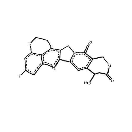 O=C1OCc2c(cc3n(c2=O)Cc2c-3nc3cc(F)cc4c3c2CCS4)C1O